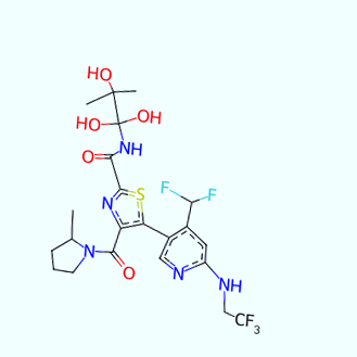 CC1CCCN1C(=O)c1nc(C(=O)NC(O)(O)C(C)(C)O)sc1-c1cnc(NCC(F)(F)F)cc1C(F)F